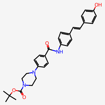 CC(C)(C)OC(=O)N1CCN(c2ccc(C(=O)Nc3ccc(C=Cc4ccc(O)cc4)cc3)cc2)CC1